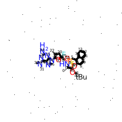 C[C@H](NP(=S)(Cc1cccc2ccccc12)OC[C@]1(F)C[C@H](C)[C@H](n2cnc3c(N(C)C)nc(N)nc32)O1)C(=O)OCC(C)(C)C